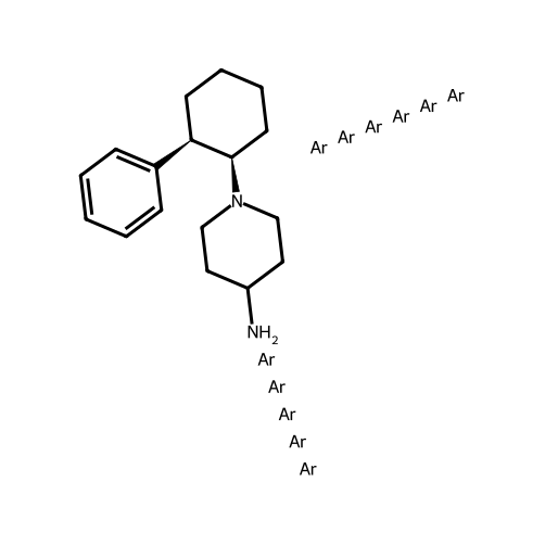 NC1CCN([C@@H]2CCCC[C@@H]2c2ccccc2)CC1.[Ar].[Ar].[Ar].[Ar].[Ar].[Ar].[Ar].[Ar].[Ar].[Ar].[Ar]